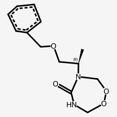 C[C@H](COCc1ccccc1)N1COOCNC1=O